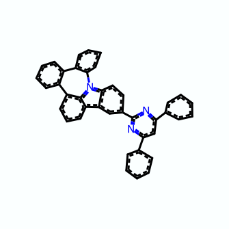 c1ccc(-c2cc(-c3ccccc3)nc(-c3ccc4c(c3)c3cccc5c3n4-c3ccccc3-c3ccccc3-5)n2)cc1